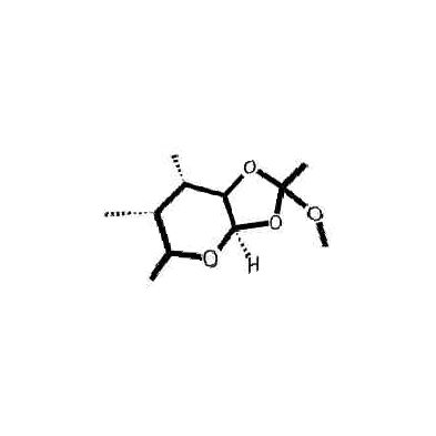 COC1(C)OC2[C@H](OC(C)[C@H](C)[C@@H]2C)O1